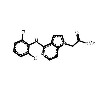 CNC(=O)Cn1ccc2c(Nc3c(Cl)cccc3Cl)nccc21